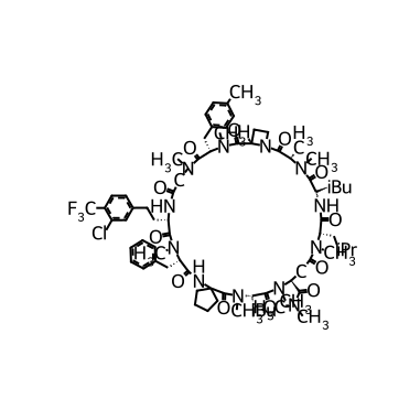 CC[C@H](C)[C@@H]1NC(=O)[C@H](CC(C)C)N(C)C(=O)C[C@@H](C(=O)N(C)C)N(C)C(=O)[C@H]([C@@H](C)CC)N(C)C(=O)C2(CCCC2)NC(=O)[C@H](Cc2ccccc2)N(C)C(=O)[C@H](CCc2ccc(C(F)(F)F)c(Cl)c2)NC(=O)CN(C)C(=O)[C@H](Cc2ccc(C)cc2)N(C)C(=O)[C@@H]2CCN2C(=O)[C@H](C)N(C)C1=O